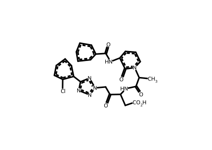 CC(C(=O)NC(CC(=O)O)C(=O)Cn1nnc(-c2ccccc2Cl)n1)n1cccc(NC(=O)c2ccccc2)c1=O